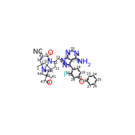 CC(C)(/C=C(/C#N)C(=O)N1CCCC1Cn1nc(-c2ccc(Oc3ccccc3)cc2F)c2c(N)ncnc21)N1CC2(COC2)C1